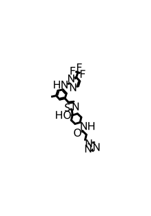 Cc1cc(Nc2nccc(C(F)(F)F)n2)cc(-c2cnc([C@]3(O)CC[C@@H](NC(=O)CCn4cncn4)CC3)s2)c1